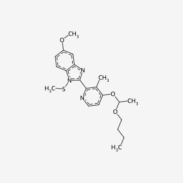 CCCCOC(C)Oc1ccnc(-c2nc3cc(OC)ccc3n2SC)c1C